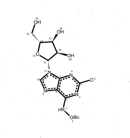 CC(C)CONc1nc(Cl)nc2c1ncn2[C@@H]1O[C@H](CO)[C@@H](O)[C@H]1O